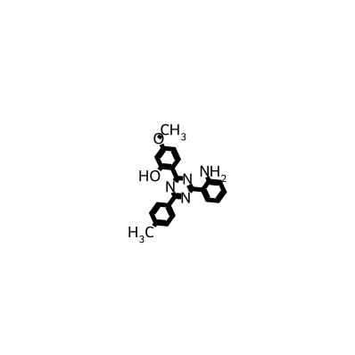 COc1ccc(-c2nc(-c3ccc(C)cc3)nc(-c3ccccc3N)n2)c(O)c1